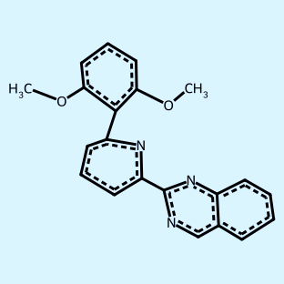 COc1cccc(OC)c1-c1cccc(-c2ncc3ccccc3n2)n1